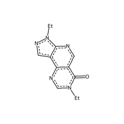 CCn1cnc2c(cnc3c2cnn3CC)c1=O